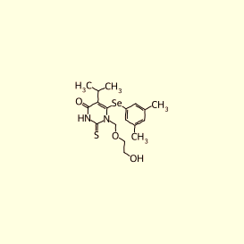 Cc1cc(C)cc([Se]c2c(C(C)C)c(=O)[nH]c(=S)n2COCCO)c1